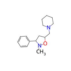 CN1OC(CN2CCCCC2)CC1c1ccccc1